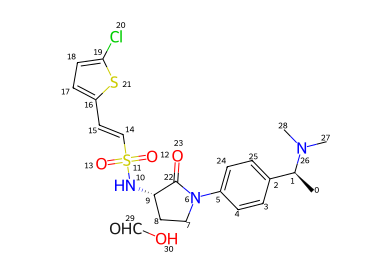 C[C@@H](c1ccc(N2CC[C@H](NS(=O)(=O)/C=C/c3ccc(Cl)s3)C2=O)cc1)N(C)C.O=CO